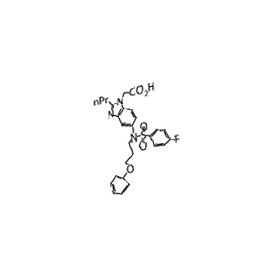 CCCc1nc2cc(N(CCCOc3ccccc3)S(=O)(=O)c3ccc(F)cc3)ccc2n1CC(=O)O